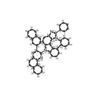 c1ccc(-c2nc3ccc4c5c6c(cccc6n4-c4nc6c(ccc7ccccc76)nc4-c4ccc6ccccc6c4)c4ccccc4n2c35)cc1